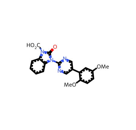 COc1ccc(OC)c(-c2cnc(-n3c(=O)n(C(=O)O)c4ccccc43)nc2)c1